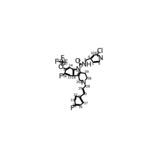 O=C(NCc1ccnc(Cl)c1)n1c2c(c3cc(F)c(OC(F)(F)F)cc31)CN(C/C=C/c1ccc(F)cc1)CC2